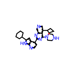 c1cc(-c2nc(N3CCNCC3)c3c(C4CCC4)cncc3n2)c2cc(C3CCCCC3)[nH]c2n1